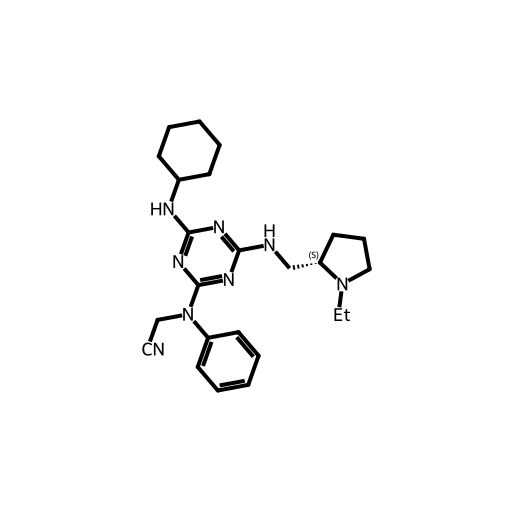 CCN1CCC[C@H]1CNc1nc(NC2CCCCC2)nc(N(CC#N)c2ccccc2)n1